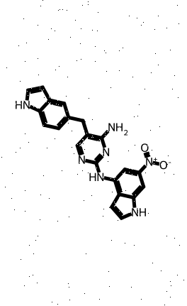 Nc1nc(Nc2cc([N+](=O)[O-])cc3[nH]ccc23)ncc1Cc1ccc2[nH]ccc2c1